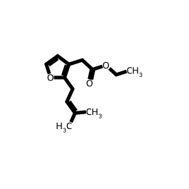 CCOC(=O)Cc1ccoc1CC=C(C)C